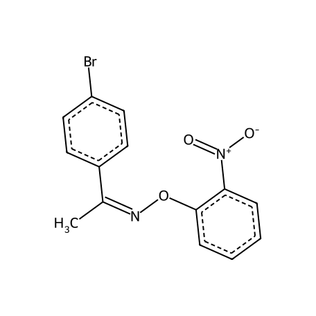 CC(=NOc1ccccc1[N+](=O)[O-])c1ccc(Br)cc1